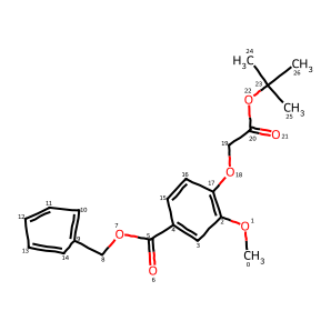 COc1cc(C(=O)OCc2ccccc2)ccc1OCC(=O)OC(C)(C)C